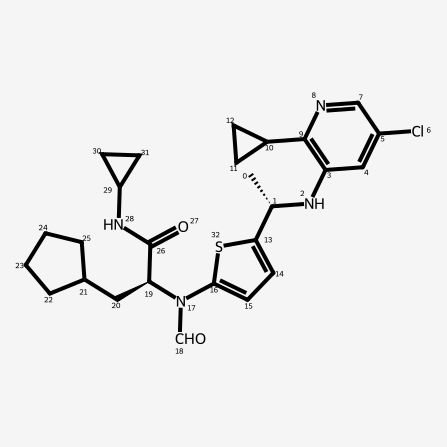 C[C@H](Nc1cc(Cl)cnc1C1CC1)c1ccc(N(C=O)[C@@H](CC2CCCC2)C(=O)NC2CC2)s1